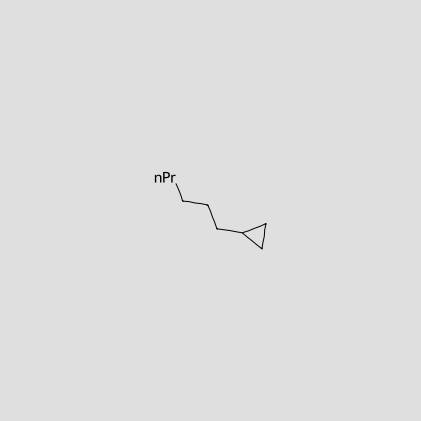 [CH2]CCCCCC1CC1